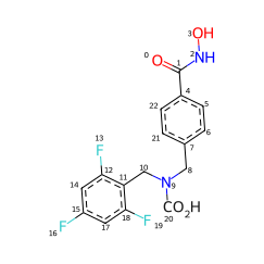 O=C(NO)c1ccc(CN(Cc2c(F)cc(F)cc2F)C(=O)O)cc1